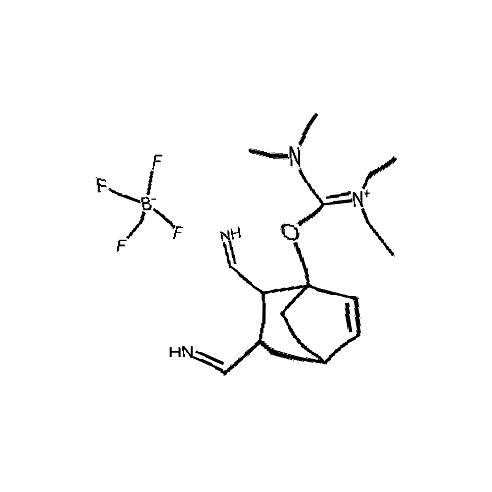 CN(C)C(OC12C=CC(C1)C(C=N)C2C=N)=[N+](C)C.F[B-](F)(F)F